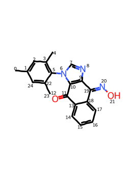 Cc1cc(C)c(-n2cnc3c2C(=O)c2ccccc2C3=NO)c(C)c1